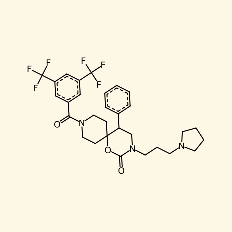 O=C1OC2(CCN(C(=O)c3cc(C(F)(F)F)cc(C(F)(F)F)c3)CC2)C(c2ccccc2)CN1CCCN1CCCC1